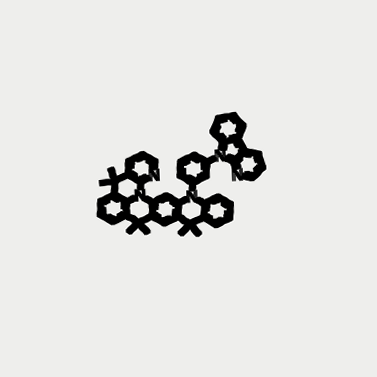 CC1(C)c2ccccc2N(c2cccc(-n3c4ccccc4c4cccnc43)c2)c2cc3c(cc21)C(C)(C)c1cccc2c1N3c1ncccc1C2(C)C